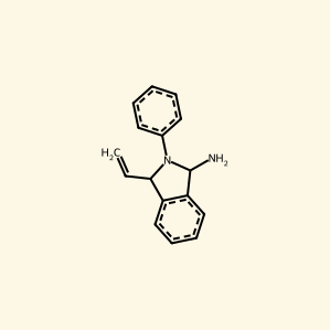 C=CC1c2ccccc2C(N)N1c1ccccc1